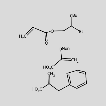 C=C(CCCCCCCCC)C(=O)O.C=C(Cc1ccccc1)C(=O)O.C=CC(=O)OCC(CC)CCCC